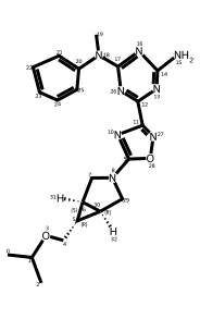 CC(C)OC[C@@H]1[C@H]2CN(c3nc(-c4nc(N)nc(N(C)c5ccccc5)n4)no3)C[C@@H]12